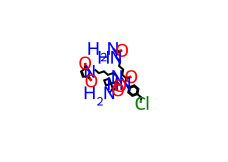 NC(=O)NCCCC(C(=O)Nc1ccc(CCl)cc1)N(CCCCCN1C(=O)C=CC1=O)C(=O)C1(C(N)=O)CCC1